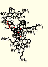 CC[C@H](C)[C@H](NC(=O)[C@H](CO)NC(=O)[C@H](CC(C)C)NC(=O)[C@H](Cc1ccccc1)NC(=O)CN)C(=O)N[C@@H](CC(C)C)C(=O)N[C@@H](CCCCN)C(=O)N[C@@H](CCCCN)C(=O)N[C@H](C(=O)N[C@@H](CC(C)C)C(=O)N1CCC[C@H]1C(=O)N[C@@H](CCCCN)C(=O)N[C@H](C(=O)N[C@@H](CCSC)C(=O)N[C@@H](C)C(=O)N[C@@H](Cc1cnc[nH]1)C(=O)N[C@@H](CCSC)C(=O)N[C@@H](CCCCN)C(N)=O)C(C)C)C(C)C